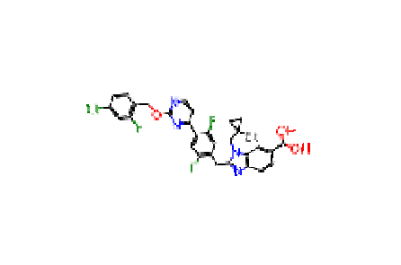 CCC1(Cn2c(Cc3cc(F)c(-c4ccnc(OCc5ccc(Cl)cc5F)n4)cc3F)nc3ccc(C(O)O)cc32)CC1